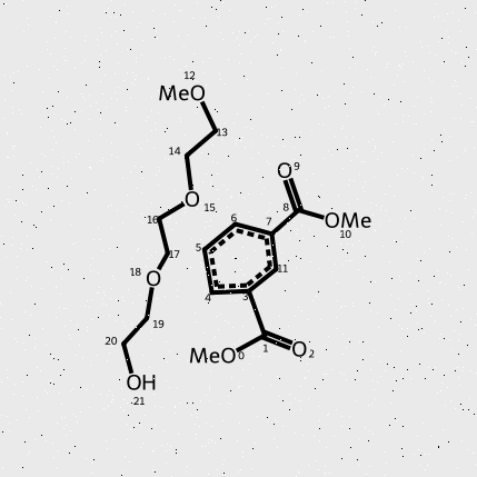 COC(=O)c1cccc(C(=O)OC)c1.COCCOCCOCCO